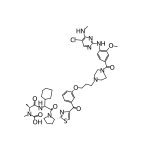 CNc1nc(Nc2ccc(C(=O)N3CCN(CCCOc4cccc(C(=O)c5csc([C@@H]6CCCN6C(=O)[C@@H](NC(=O)[C@H](C)N(C)C(=O)O)C6CCCCC6)n5)c4)CC3)cc2OC)ncc1Cl